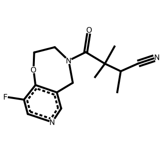 CC(C#N)C(C)(C)C(=O)N1CCOc2c(F)cncc2C1